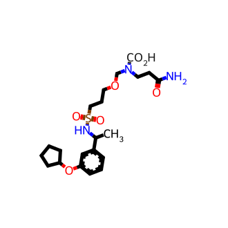 CC(NS(=O)(=O)CCCOCN(CCC(N)=O)C(=O)O)c1cccc(OC2CCCC2)c1